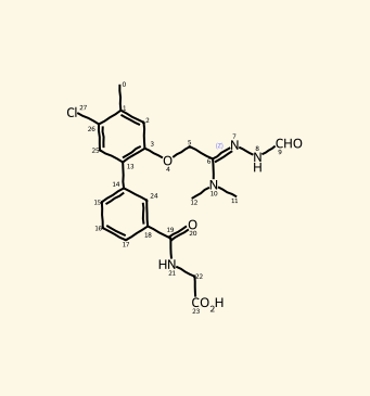 Cc1cc(OC/C(=N/NC=O)N(C)C)c(-c2cccc(C(=O)NCC(=O)O)c2)cc1Cl